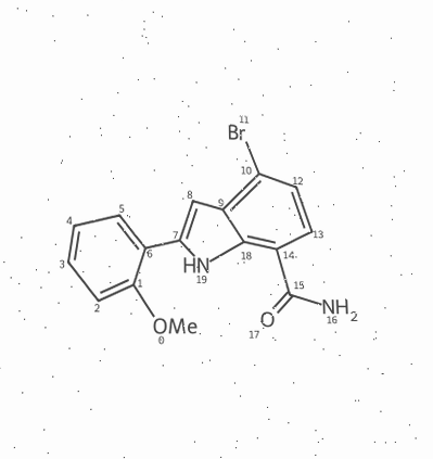 COc1ccccc1-c1cc2c(Br)ccc(C(N)=O)c2[nH]1